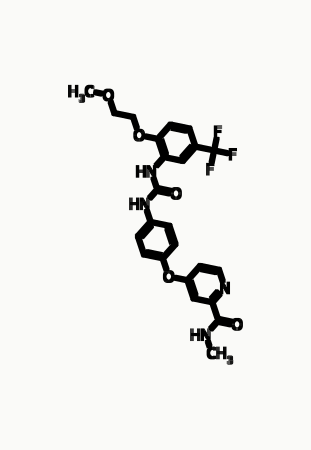 CNC(=O)c1cc(Oc2ccc(NC(=O)Nc3cc(C(F)(F)F)ccc3OCCOC)cc2)ccn1